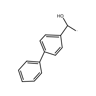 [CH2]C(O)c1ccc(-c2ccccc2)cc1